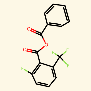 O=C(OC(=O)c1c(F)cccc1C(F)(F)F)c1ccccc1